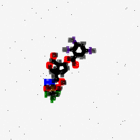 O=C(OC1C2CC3C(OC(=O)C31)C2C(=O)NS(=O)(=O)C(F)(F)F)c1cc(I)cc(I)c1I